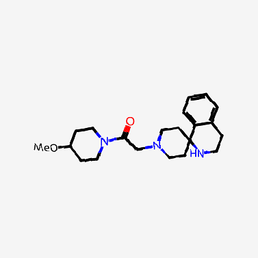 COC1CCN(C(=O)CN2CCC3(CC2)NCCc2ccccc23)CC1